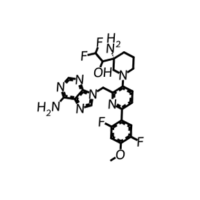 COc1cc(F)c(-c2ccc(N3CCC[C@](N)(C(O)C(F)F)C3)c(Cn3cnc4c(N)ncnc43)n2)cc1F